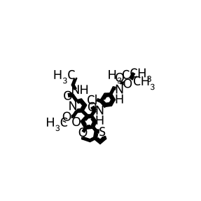 CCCNC(=O)c1ccc(-c2cc3c(cc2C(=O)Nc2ccc(CNC(=O)OC(C)(C)C)cc2Cl)-c2sccc2CCO3)c(C(=O)OC)n1